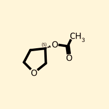 CC(=O)O[C@H]1CCOC1